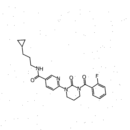 O=C(NCCCC1CC1)c1ccc(N2CCCN(C(=O)c3ccccc3F)C2=O)nc1